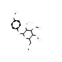 CC(C)OCC1OC(Oc2ccc(OC(C)C)cc2)C(OC(C)(C)C)C(OC(C)C)C1OC(C)C